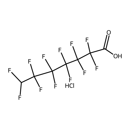 Cl.O=C(O)C(F)(F)C(F)(F)C(F)(F)C(F)(F)C(F)(F)C(F)F